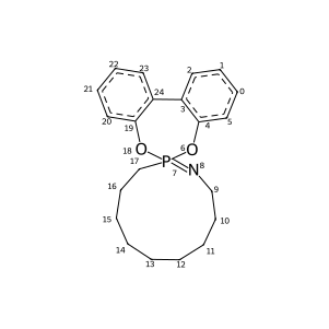 c1ccc2c(c1)OP1(=NCCCCCCCCC1)Oc1ccccc1-2